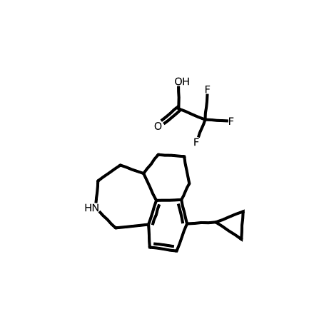 O=C(O)C(F)(F)F.c1cc(C2CC2)c2c3c1CNCCC3CCC2